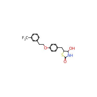 O=C1NC(O)C(Cc2ccc(OCCc3cccc(C(F)(F)F)c3)cc2)S1